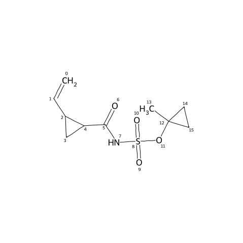 C=CC1CC1C(=O)NS(=O)(=O)OC1(C)CC1